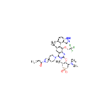 C=CC(=O)N1CC2(CCN(c3nc(OC4C(C)CS(=O)(=O)CC4N(C)C)nc4c(OCC(F)(F)F)c(-c5c(C)ccc6[nH]ncc56)c(C5CC5)cc34)CC2)C1